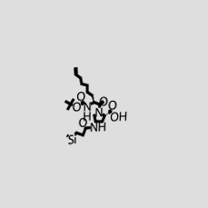 C=CCCCCC[C@H](NC(=O)OC(C)(C)C)C(=O)N1C[C@H](NC(=O)CC[Si](C)(C)C)C[C@H]1C(=O)O